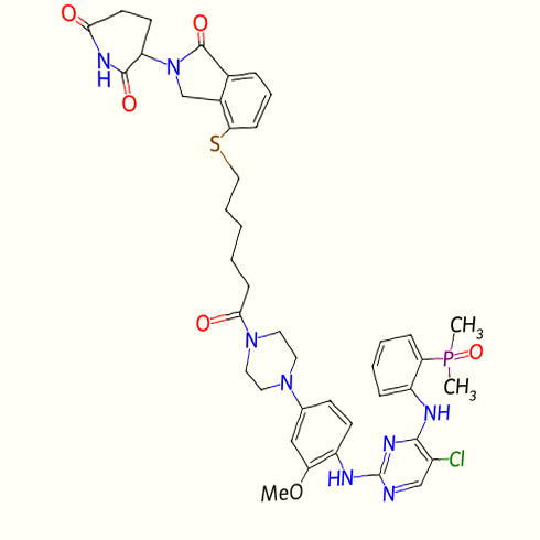 COc1cc(N2CCN(C(=O)CCCCCSc3cccc4c3CN(C3CCC(=O)NC3=O)C4=O)CC2)ccc1Nc1ncc(Cl)c(Nc2ccccc2P(C)(C)=O)n1